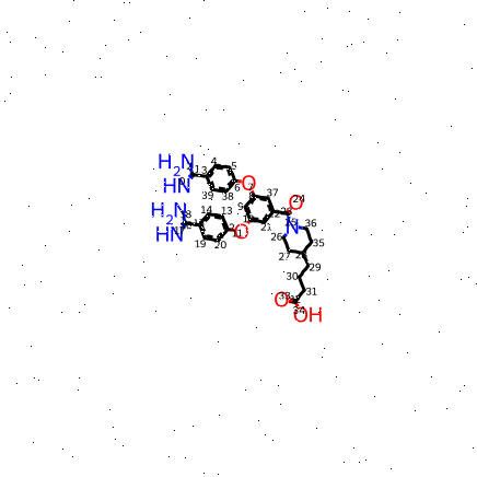 N=C(N)c1ccc(Oc2cc(Oc3ccc(C(=N)N)cc3)cc(C(=O)N3CCC(CCCC(=O)O)CC3)c2)cc1